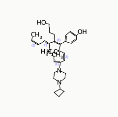 C=C(/C=C\C(=C/C)N1CCN(C2CCC2)CC1)\C(=C(CCCO)/C(C)=C/C=C\C)c1ccc(O)cc1